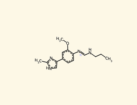 CCCN/C=N/c1ccc(-c2c[nH]c(C)n2)cc1OC